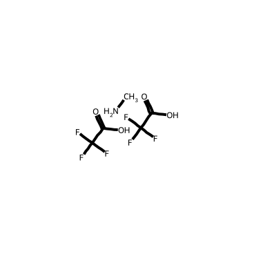 CN.O=C(O)C(F)(F)F.O=C(O)C(F)(F)F